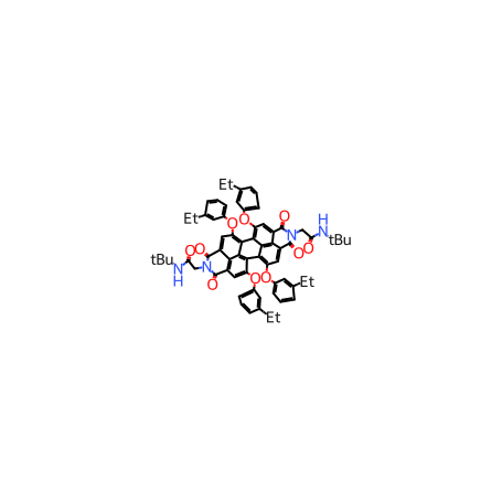 CCc1cccc(Oc2cc3c4c(cc(Oc5cccc(CC)c5)c5c6c(Oc7cccc(CC)c7)cc7c8c(cc(Oc9cccc(CC)c9)c(c2c45)c86)C(=O)N(CC(=O)NC(C)(C)C)C7=O)C(=O)N(CC(=O)NC(C)(C)C)C3=O)c1